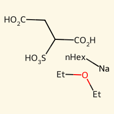 CCCCC[CH2][Na].CCOCC.O=C(O)CC(C(=O)O)S(=O)(=O)O